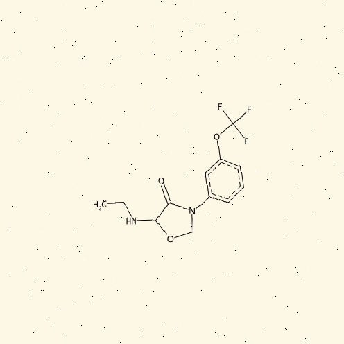 CCNC1OCN(c2cccc(OC(F)(F)F)c2)C1=O